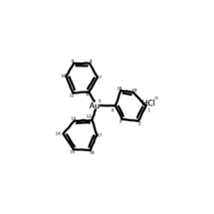 Cl.c1cc[c]([Au]([c]2ccccc2)[c]2ccccc2)cc1